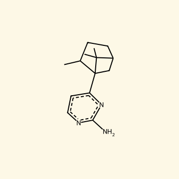 CC1CCC2CC1(c1ccnc(N)n1)C2(C)C